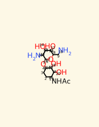 CC(=O)N[C@@H]1CC[C@@H](O[C@H]2OC(CN)[C@@H](O)[C@H](O)C2N)[C@H](O)C1O